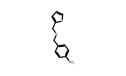 O=[N+]([O-])c1ccc(CO[CH]c2cccs2)cc1